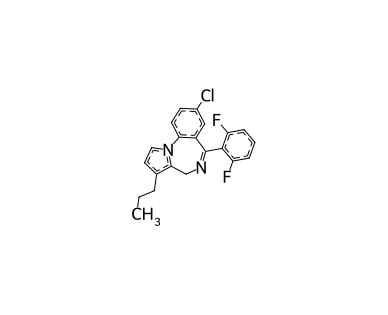 CCCc1ccn2c1CN=C(c1c(F)cccc1F)c1cc(Cl)ccc1-2